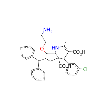 CC1=C(C(=O)O)C(c2cccc(Cl)c2)C(CCC(c2ccccc2)c2ccccc2)(C(=O)O)C(COCCN)N1